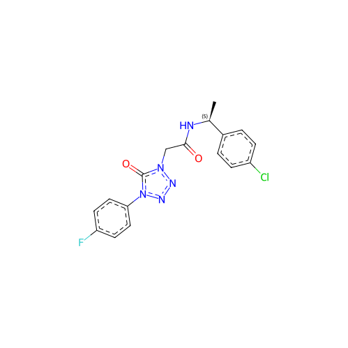 C[C@H](NC(=O)Cn1nnn(-c2ccc(F)cc2)c1=O)c1ccc(Cl)cc1